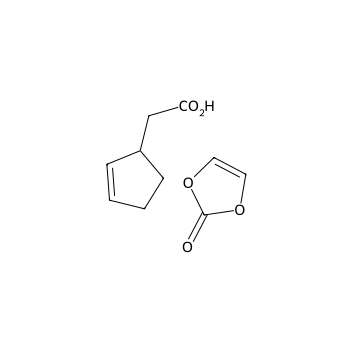 O=C(O)CC1C=CCC1.O=c1occo1